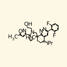 Cc1cc(C(=O)N(CCO)C[C@@]2(C)CC[C@H](C(C)C)c3cc(-c4c(F)cccc4F)nnc32)no1